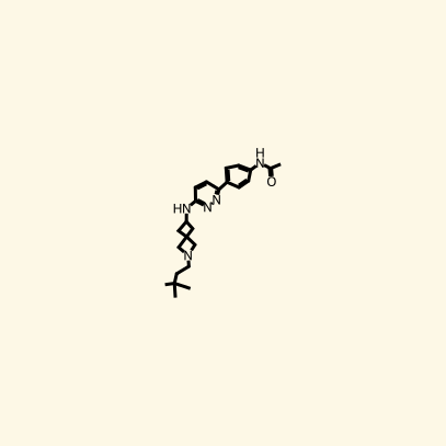 CC(=O)Nc1ccc(-c2ccc(NC3CC4(C3)CN(CCC(C)(C)C)C4)nn2)cc1